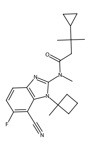 CN(C(=O)CC(C)(C)C1CC1)c1nc2ccc(F)c(C#N)c2n1C1(C)CCC1